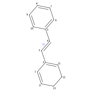 C1=CC(/C=C/c2ccccc2)=CCC1